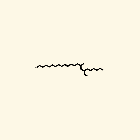 [CH2]CCCCCCCCC=CCCCC(C)CC(CC)CCCCC[CH2]